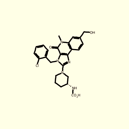 Cn1c(=O)c2c(nc(N3CCC[C@@H](NC(=O)O)C3)n2Cc2ccccc2Cl)c2ccc(CO)cc21